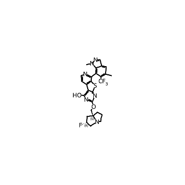 Cc1cc2cnn(C)c2c(-c2nccc3c2sc2nc(OC[C@@]45CCCN4C[C@H](F)C5)nc(O)c23)c1C(F)(F)F